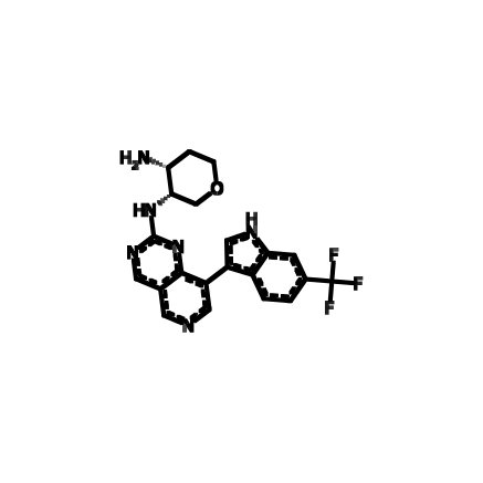 N[C@@H]1CCOC[C@@H]1Nc1ncc2cncc(-c3c[nH]c4cc(C(F)(F)F)ccc34)c2n1